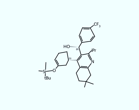 CC(C)c1nc2c(c([C@H]3CCC=C(O[Si](C)(C)C(C)(C)C)C3)c1[C@H](O)c1ccc(C(F)(F)F)cc1)CCC(C)(C)C2